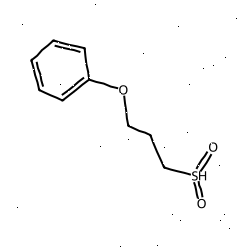 O=[SH](=O)CCCOc1ccccc1